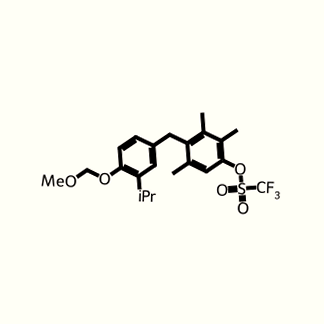 COCOc1ccc(Cc2c(C)cc(OS(=O)(=O)C(F)(F)F)c(C)c2C)cc1C(C)C